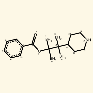 BC(B)(OC(=O)c1ccccc1)C(B)(B)C1CCNCC1